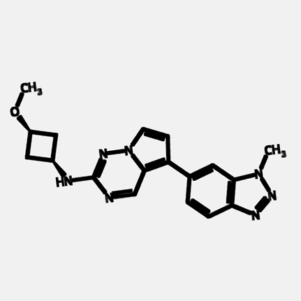 CO[C@H]1C[C@@H](Nc2ncc3c(-c4ccc5nnn(C)c5c4)ccn3n2)C1